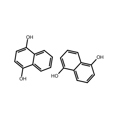 Oc1ccc(O)c2ccccc12.Oc1cccc2c(O)cccc12